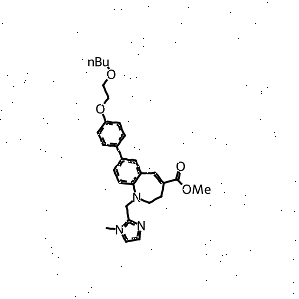 CCCCOCCOc1ccc(-c2ccc3c(c2)C=C(C(=O)OC)CCN3Cc2nccn2C)cc1